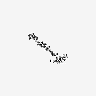 Cc1ccnc(-n2c(S)nc3sc(C)c(C#CC(=O)NCCOCCNC(=O)Cn4ccc5cc(C(=O)NCCc6ccc(N7C[C@H]8CC[C@@H](C7)N8)cc6)cnc54)c3c2=O)c1